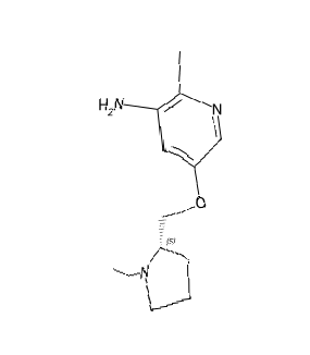 Cc1ncc(OC[C@@H]2CCCN2C)cc1N